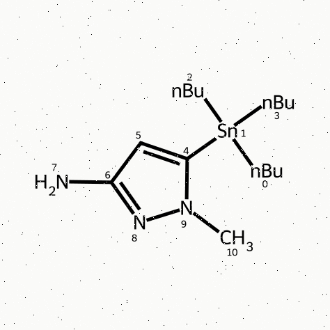 CCC[CH2][Sn]([CH2]CCC)([CH2]CCC)[c]1cc(N)nn1C